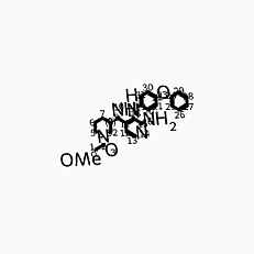 COCC(=O)N1CCC[C@@H](C(=N)c2ccnc(N)c2Nc2ccc(Oc3ccccc3)cc2)C1